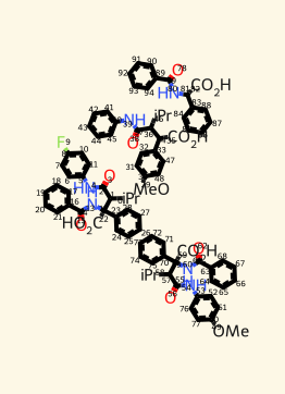 CC(C)C(C(=O)Nc1ccc(F)cc1)C(NC(=O)c1ccccc1)(C(=O)O)c1ccccc1.COc1ccc(C(C(=O)O)C(C(=O)Nc2ccccc2)C(C)C)cc1.COc1ccc(NC(=O)C(C(C)C)C(NC(=O)c2ccccc2)(C(=O)O)c2ccccc2)cc1.O=C(NC(C(=O)O)c1ccccc1)c1ccccc1